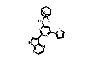 c1csc(-c2cc(N[C@@H]3CC4CCC3CC4)nc(-c3c[nH]c4nccnc34)n2)c1